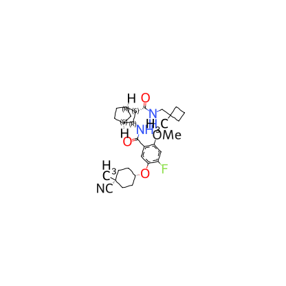 COc1cc(F)c(O[C@H]2CC[C@@](C)(C#N)CC2)cc1C(=O)N[C@@H]1[C@H]2CC[C@H](C2)[C@@H]1C(=O)NCC1(C)CCC1